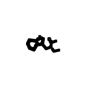 CCN(Cc1csc2ccccc12)C(C)=O